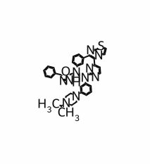 CC(C)N1CCN(c2cccc(Nc3nccc(-c4c(-c5cccc(Nc6nnc(-c7ccccc7)o6)c5)nc5sccn45)n3)c2)CC1